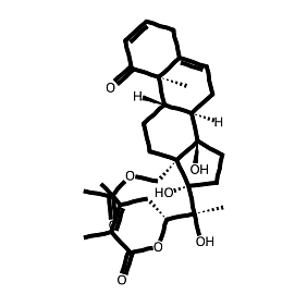 CC(=O)OC[C@]12CC[C@H]3[C@@H](CC=C4CC=CC(=O)[C@@]43C)[C@]1(O)CC[C@@]2(O)[C@@](C)(O)[C@H]1CC(C)=C(C)C(=O)O1